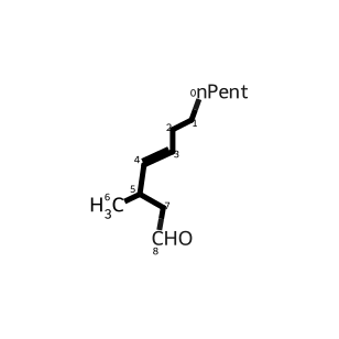 CCCCCCC/C=C/C(C)CC=O